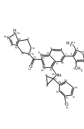 Cc1noc(C)c1-c1ccc2nc(C(=O)N3CCc4[nH]ncc4C3)nc(NC3(c4cccc(Cl)c4)CC3)c2c1